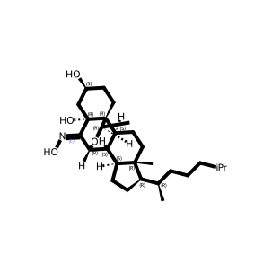 CC(C)CCC[C@@H](C)[C@H]1CC[C@H]2[C@@H]3[C@H]4O[C@H](C)[C@@]5(CC[C@H](O)C[C@]5(O)/C4=N/O)[C@H]3CC[C@]12C